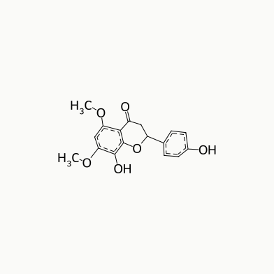 COc1cc(OC)c2c(c1O)OC(c1ccc(O)cc1)CC2=O